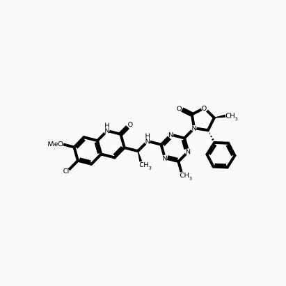 COc1cc2[nH]c(=O)c([C@H](C)Nc3nc(C)nc(N4C(=O)O[C@@H](C)[C@@H]4c4ccccc4)n3)cc2cc1Cl